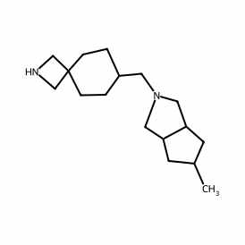 CC1CC2CN(CC3CCC4(CC3)CNC4)CC2C1